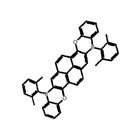 Cc1cccc(C)c1B1c2ccccc2Oc2c1cc1ccc3c4c(cc5ccc2c1c53)B(c1c(C)cccc1C)c1ccccc1O4